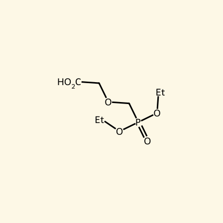 CCOP(=O)(COCC(=O)O)OCC